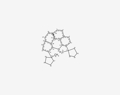 CC1(c2ccc3ccccc3c2Oc2c(C3(C)CCCC3)ccc3ccccc23)CCCC1